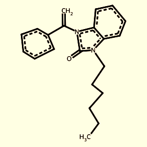 C=C(c1ccccc1)n1c(=O)n(CCCCCC)c2ccccc21